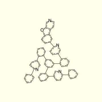 c1ccc(-c2ccc(-c3ccccc3-c3cc(-c4ccccc4-c4ccc(-c5ccccc5)nc4)cc(-c4ccccc4-c4ccc(-c5ccc6oc7cnccc7c6c5)nc4)c3)cn2)cc1